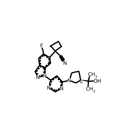 CC(C)(O)[C@@H]1CCN(c2cc(-n3ncc4cc(F)c(C5(C#N)CCC5)cc43)ncn2)C1